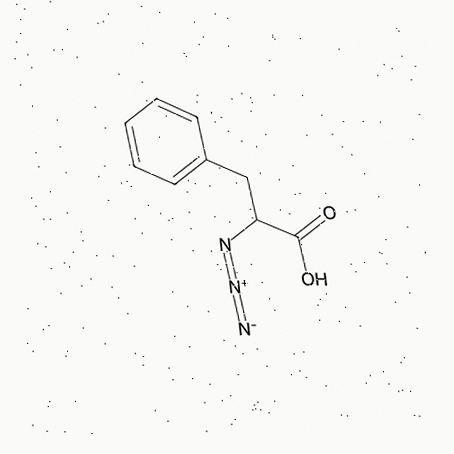 [N-]=[N+]=NC(Cc1ccccc1)C(=O)O